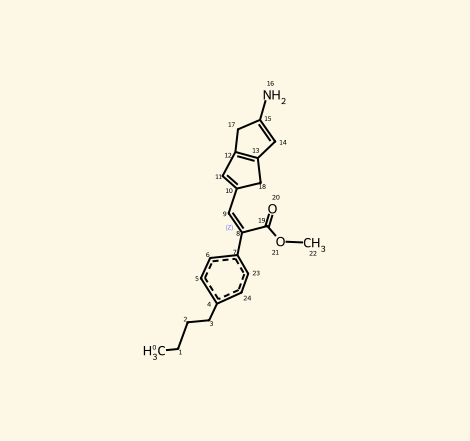 CCCCc1ccc(/C(=C/C2=CC3=C(C=C(N)C3)C2)C(=O)OC)cc1